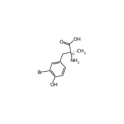 C[C@](N)(Cc1ccc(O)c(Br)c1)C(=O)O